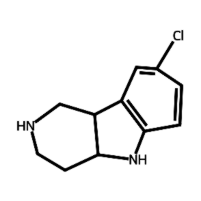 Clc1ccc2c(c1)C1CNCCC1N2